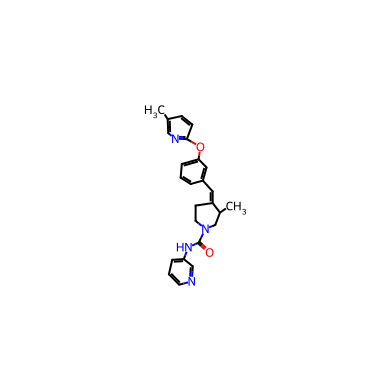 Cc1ccc(Oc2cccc(/C=C3\CCN(C(=O)Nc4cccnc4)CC3C)c2)nc1